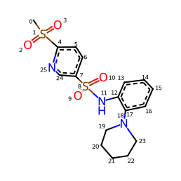 CS(=O)(=O)c1ccc(S(=O)(=O)Nc2ccccc2N2CCCCC2)cn1